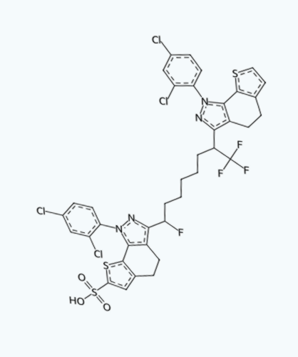 O=S(=O)(O)c1cc2c(s1)-c1c(c(C(F)CCCCCC(c3nn(-c4ccc(Cl)cc4Cl)c4c3CCc3ccsc3-4)C(F)(F)F)nn1-c1ccc(Cl)cc1Cl)CC2